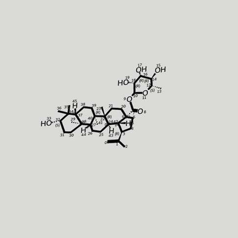 C=C(C)[C@@H]1CC[C@]2(C(=O)OC3O[C@@H](C)[C@H](O)[C@@H](O)[C@H]3O)CC[C@]3(C)[C@H](CC[C@@H]4[C@@]5(C)CC[C@H](O)C(C)(C)[C@@H]5CC[C@]43C)[C@@H]12